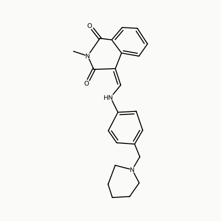 CN1C(=O)/C(=C\Nc2ccc(CN3CCCCC3)cc2)c2ccccc2C1=O